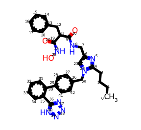 CCCCc1nc(CNC(=O)C(Cc2ccccc2)C(=O)NO)cn1Cc1ccc(-c2ccccc2-c2nnn[nH]2)cc1